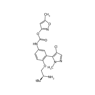 Cc1cc(OC(=O)Nc2ccc(OC[C@@H](N)C(C)(C)C)c(-c3c(Cl)cnn3C)c2)no1